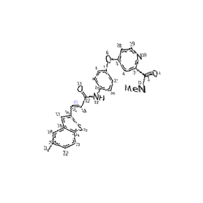 CNC(=O)c1cc(Oc2ccc(NC(=O)/C=C/c3cc4cc(C)ccc4s3)cc2)ccn1